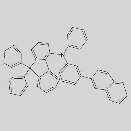 C1=CC(C2(c3ccccc3)c3ccccc3-c3c(N(c4ccccc4)c4cccc(-c5ccc6ccccc6c5)c4)cccc32)=CCC1